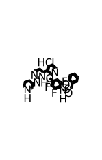 Cl.O=S(=O)(Cc1ccccc1)Nc1c(F)cc(Oc2ncccc2-c2ccnc(NC3CCCNC3)n2)c(F)c1F